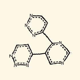 [c]1ncc(-c2ccnnn2)c(-c2ccnnn2)n1